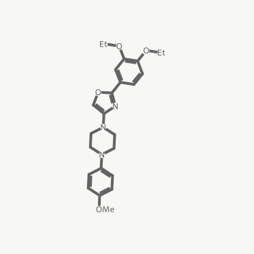 CCOc1ccc(-c2nc(N3CCN(c4ccc(OC)cc4)CC3)co2)cc1OCC